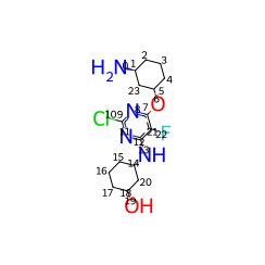 N[C@H]1CCCC(Oc2nc(Cl)nc(N[C@H]3CCCC(O)C3)c2F)C1